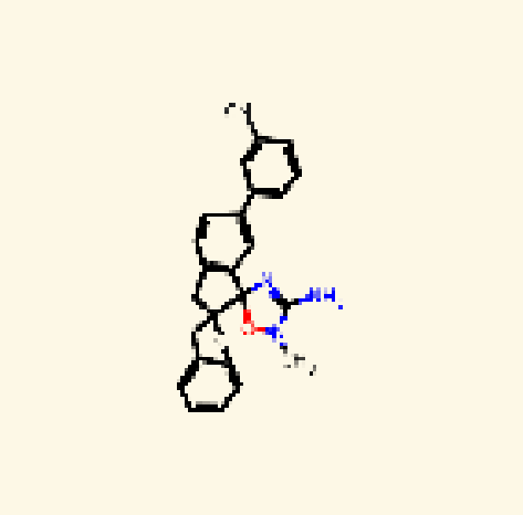 [C-]#[N+]c1cccc(-c2ccc3c(c2)C2(N=C(N)N(C)O2)C2(Cc4ccccc4C2)C3)c1